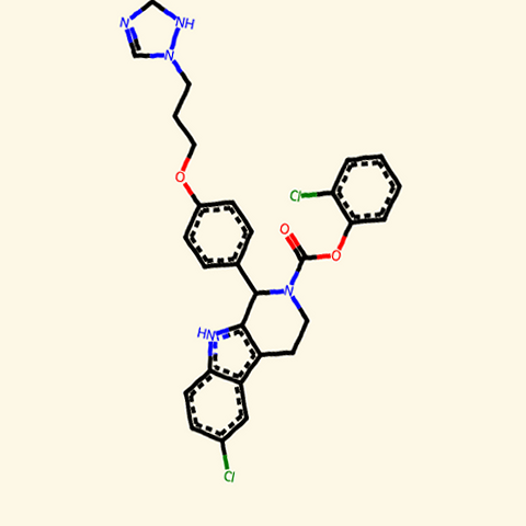 O=C(Oc1ccccc1Cl)N1CCc2c([nH]c3ccc(Cl)cc23)C1c1ccc(OCCCN2C=NCN2)cc1